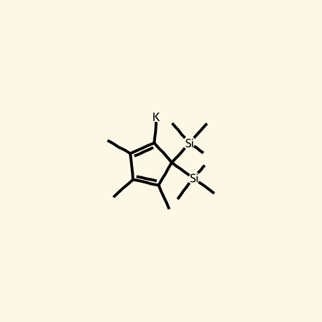 CC1=C(C)C([Si](C)(C)C)([Si](C)(C)C)[C]([K])=C1C